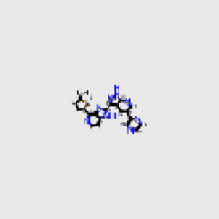 Cc1ccc(-c2nccc3[nH]c(-c4n[nH]c5ncc(-c6cnccn6)cc45)nc23)s1